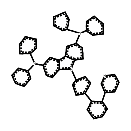 c1ccc(N(c2ccccc2)c2ccc3c(c2)c2cc(N(c4ccccc4)c4ccccc4)ccc2n3-c2ccc(-c3ccccc3-c3cccnc3)cc2)cc1